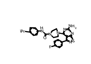 CC(C)c1ccc(NC(=O)N2CCN(c3nc(N)nc4snc(-c5ccc(F)cc5)c34)CC2)cc1